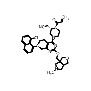 C=CC(=O)N1CCN(c2nc(OCC34COCC3CN(C)C4)nc3c2CCN(c2cccc4cccc(Cl)c24)C3)C[C@@H]1CC#N